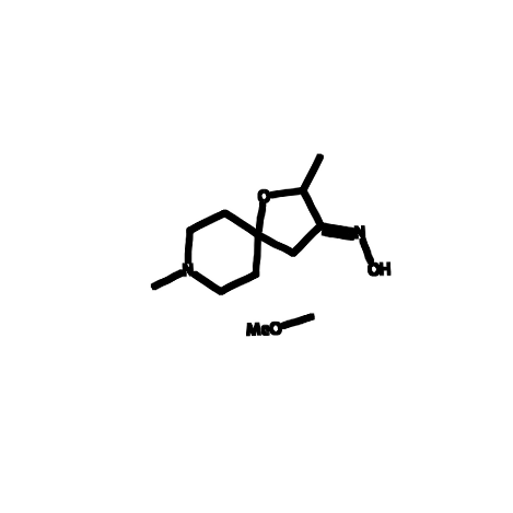 CC1OC2(CCN(C)CC2)CC1=NO.COC